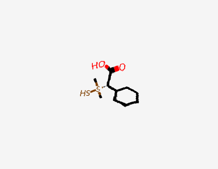 CS(C)(S)[C@H](C(=O)O)C1CCCCC1